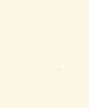 CC1(C)OC(=O)C2CC=CCC21